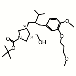 COCCCOc1cc(CC(C[C@@H]2CN(C(=O)OC(C)(C)C)C[C@H]2CO)C(C)C)ccc1OC